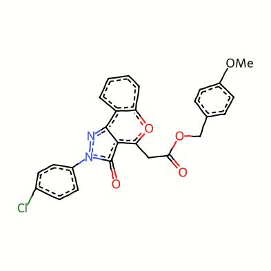 COc1ccc(COC(=O)Cc2oc3ccccc3c3nn(-c4ccc(Cl)cc4)c(=O)c2-3)cc1